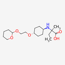 CCC(C)(N[C@H]1CC[C@H](OCCOC2CCCCO2)CC1)C(=O)O